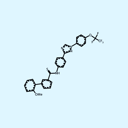 COc1ccccc1-c1cccc(C(=S)Nc2ccc(-c3ncn(-c4ccc(OC(F)(F)C(F)(F)F)cc4)n3)cc2)c1